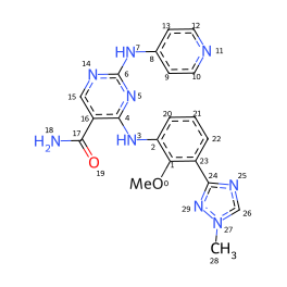 COc1c(Nc2nc(Nc3ccncc3)ncc2C(N)=O)cccc1-c1ncn(C)n1